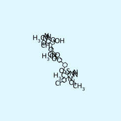 CCC(=O)C[C@@H]1N=C(c2ccc(Cl)cc2)c2c(sc(C(=O)C3CCCC(c4ccc(S(=O)(=O)N(C)Cc5cc(C(CC(=O)O)c6cc(OC)c7c(c6)nnn7C)ccc5Cl)cc4)C3)c2C)-n2cnnc21